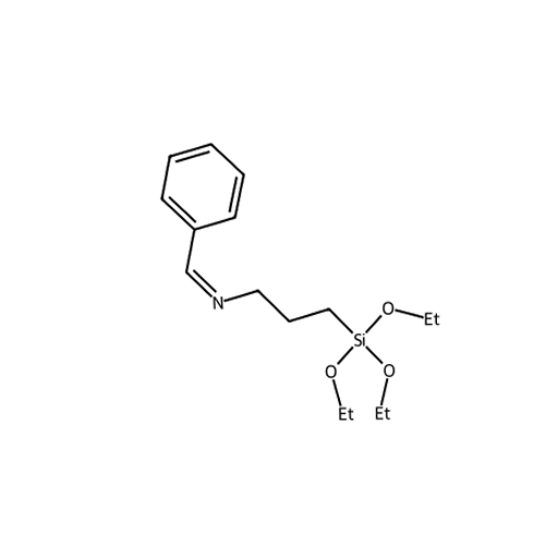 CCO[Si](CCC/N=C\c1ccccc1)(OCC)OCC